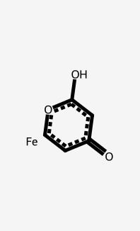 O=c1ccoc(O)c1.[Fe]